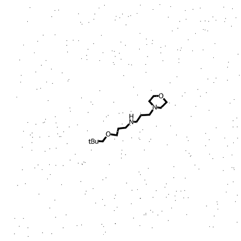 CC(C)(C)COCCCNCCCN1CCOCC1